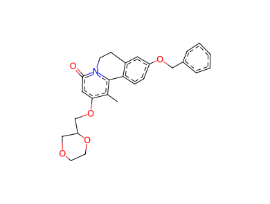 Cc1c(OCC2COCCO2)cc(=O)n2c1-c1ccc(OCc3ccccc3)cc1CC2